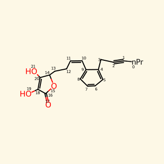 CCCC#CCc1ccccc1/C=C\CCC1OC(=O)C(O)=C1O